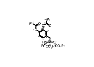 CCOC(=O)O[C@](Cc1ccc(OC(=O)C(C)C)c(OC(=O)C(C)C)c1)(NC(C)C)C(=O)O